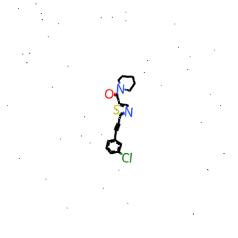 O=C(c1cnc(C#Cc2cccc(Cl)c2)s1)N1CCCCC1